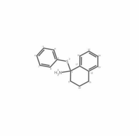 NC1(Sc2ccccc2)CCCc2ccccc21